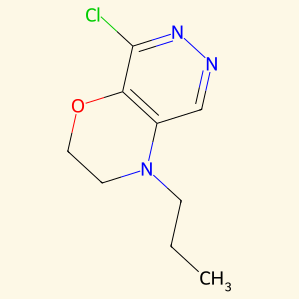 CCCN1CCOc2c1cnnc2Cl